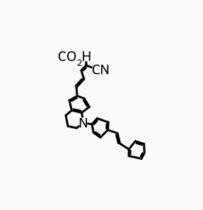 N#C/C(=C\C=C\c1ccc2c(c1)CCCN2c1ccc(/C=C/c2ccccc2)cc1)C(=O)O